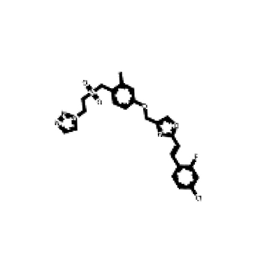 Cc1cc(OCc2coc(C=Cc3ccc(Cl)cc3F)n2)ccc1CS(=O)(=O)CCn1ccnn1